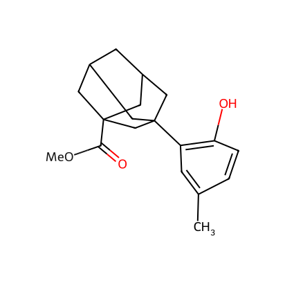 COC(=O)C12CC3CC(C1)CC(c1cc(C)ccc1O)(C3)C2